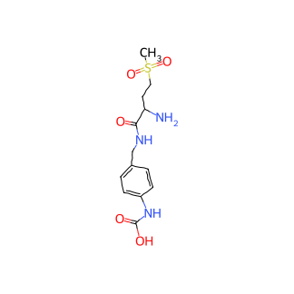 CS(=O)(=O)CCC(N)C(=O)NCc1ccc(NC(=O)O)cc1